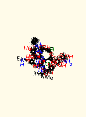 CCNCCOc1ccc(C(=O)NC(=O)C[C@@H]2NC(=O)[C@H](NC(=O)[C@@H](CC(C)C)NC)[C@H](O)c3ccc(c(Cl)c3)Oc3cc4cc(c3O[C@@H]3O[C@H](CO)[C@@H](O)[C@H](O)[C@H]3O[C@H]3C[C@](C)(N)[C@H](O)[C@H](C)O3)Oc3ccc(cc3Cl)[C@@H](O)[C@@H]3NC(=O)[C@H](NC(=O)[C@@H]4NC2=O)c2ccc(O)c(c2)-c2c(O)cc(O)cc2[C@@H](C(=O)NC2C4CC5CC(C4)CC2C5)NC3=O)cc1